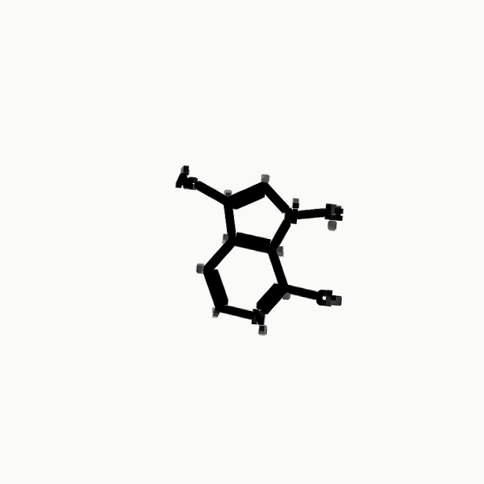 CCn1cc(C(C)=O)c2ccnc(Cl)c21